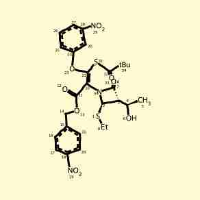 CCS[C@@H]1[C@@H]([C@@H](C)O)C(=O)N1C(C(=O)OCc1ccc([N+](=O)[O-])cc1)=C(Oc1cccc([N+](=O)[O-])c1)SC(=O)C(C)(C)C